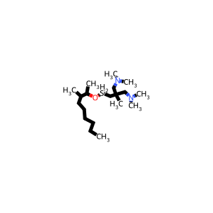 CCCCCCC(C)C(C)O[SiH2]CC(C)(CN(C)C)CN(C)C